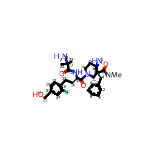 CNC(=O)[C@]1(Cc2ccccc2)CN(C(=O)[C@@H](CCc2ccc(CO)cc2F)NC(=O)C(C)(C)N)CCC1=N